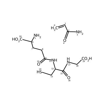 C=CC(N)=O.NC(CCC(=O)NC(CS)C(=O)NCC(=O)O)C(=O)O